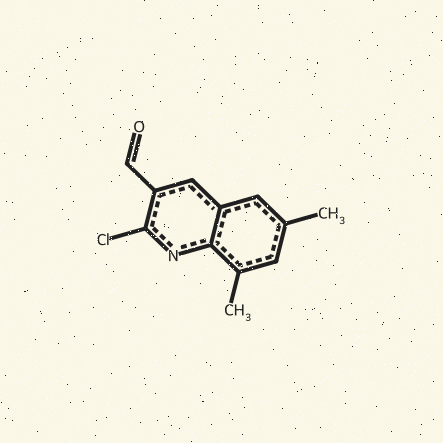 Cc1cc(C)c2nc(Cl)c(C=O)cc2c1